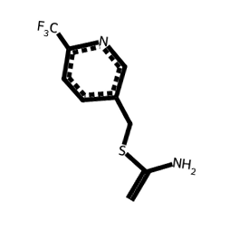 C=C(N)SCc1ccc(C(F)(F)F)nc1